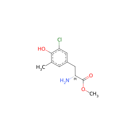 COC(=O)[C@H](N)Cc1cc(C)c(O)c(Cl)c1